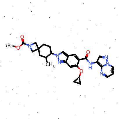 CC1CC2(CCC1n1cc3cc(C(=O)Nc4cnn5cccnc45)c(OC4CC4)cc3n1)CN(C(=O)OC(C)(C)C)C2